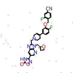 N#Cc1ccc(COc2cc(C3=CCN(Cc4nc5cc(-c6noc(=O)[nH]6)cnc5n4C[C@@H]4CCO4)CC3)ccc2F)c(F)c1